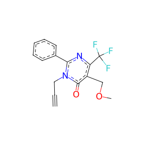 C#CCn1c(-c2ccccc2)nc(C(F)(F)F)c(COC)c1=O